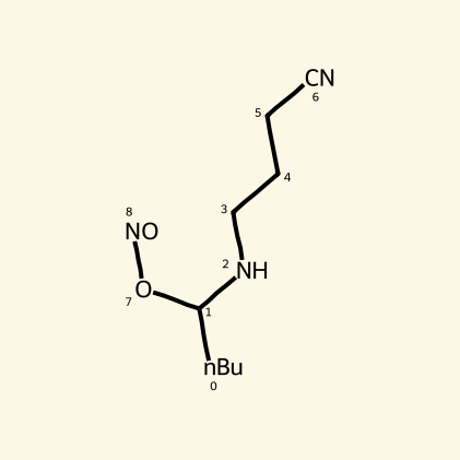 CCCCC(NCCCC#N)ON=O